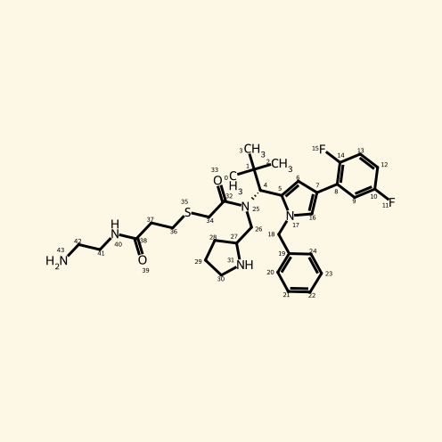 CC(C)(C)[C@H](c1cc(-c2cc(F)ccc2F)cn1Cc1ccccc1)N(CC1CCCN1)C(=O)CSCCC(=O)NCCN